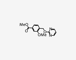 COC(=O)c1ccc(COc2ncccn2)c(OC)c1